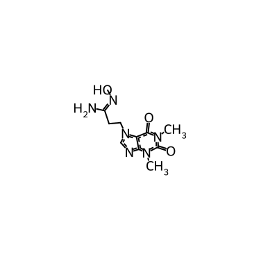 Cn1c(=O)c2c(ncn2CCC(N)=NO)n(C)c1=O